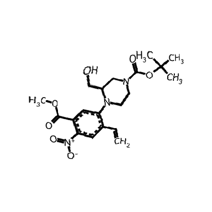 C=Cc1cc([N+](=O)[O-])c(C(=O)OC)cc1N1CCN(C(=O)OC(C)(C)C)CC1CO